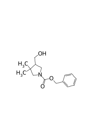 CC1(C)CN(C(=O)OCc2ccccc2)CC1CO